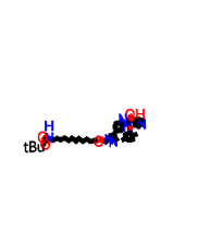 Cc1ccc(C)c(Cn2c(C(O)c3ccncc3)nc3ccc(-c4cnn(CCOCCCCCCCCCCCCNC(=O)OC(C)(C)C)c4)cc32)c1